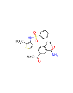 COC(=O)c1ccc(C)c(C(N)=O)c1.O=C(O)c1sccc1NS(=O)(=O)c1ccccc1